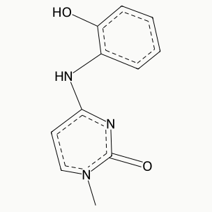 Cn1ccc(Nc2ccccc2O)nc1=O